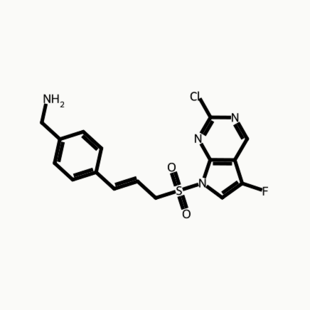 NCc1ccc(C=CCS(=O)(=O)n2cc(F)c3cnc(Cl)nc32)cc1